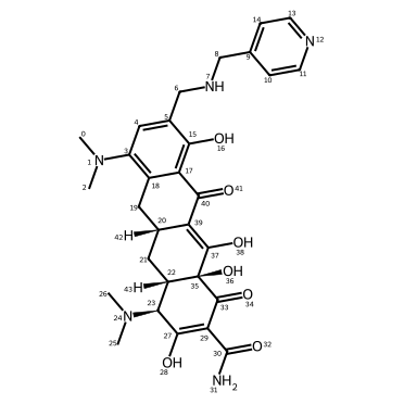 CN(C)c1cc(CNCc2ccncc2)c(O)c2c1C[C@H]1C[C@H]3[C@H](N(C)C)C(O)=C(C(N)=O)C(=O)[C@@]3(O)C(O)=C1C2=O